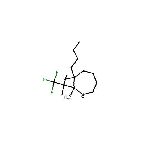 BC1(C(C)(C)C(F)(F)F)BCCCCC1(C)CCCC